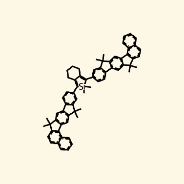 CC1(C)c2cc(C3=C4CCCCC4=C(c4ccc5c(c4)C(C)(C)c4cc6c(cc4-5)C(C)(C)c4ccc5ccccc5c4-6)[Si]3(C)C)ccc2-c2cc3c(cc21)-c1c(ccc2ccccc12)C3(C)C